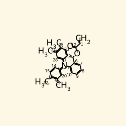 C=CC(=O)OCc1ccccc1N(c1ccc(C)c(C)c1)c1ccc(C)c(C)c1